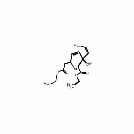 C/C=C\C(O)(/C=C\C(O)CC(=O)OCC)CC(=O)OCC